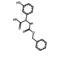 [NH]C(=O)C(NC(=O)OCc1ccccc1)c1cccc(O)c1